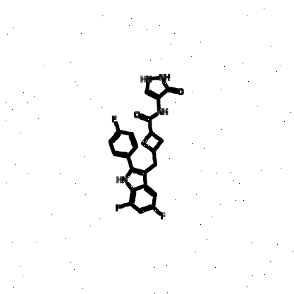 O=C(Nc1c[nH][nH]c1=O)C1CC(Cc2c(-c3ccc(F)cc3)[nH]c3c(F)cc(F)cc23)C1